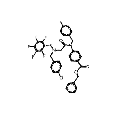 Cc1ccc(CN(C(=O)CN(Cc2ccc(Cl)cc2)Sc2c(F)c(F)c(F)c(F)c2F)c2ccc(C(=O)OCc3ccccc3)cc2)cc1